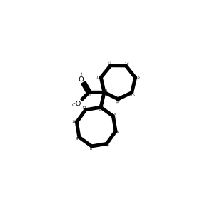 [O]C(=O)C1(C2CCCCCCC2)CCCCCC1